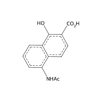 CC(=O)Nc1cccc2c(O)c(C(=O)O)ccc12